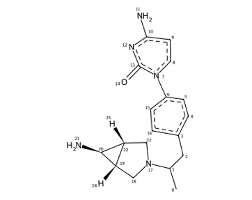 CC(Cc1ccc(-n2ccc(N)nc2=O)cc1)N1C[C@@H]2[C@@H](N)[C@@H]2C1